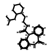 CN(C)CC1CCCCN1CCNC(=O)N1c2ccccc2NC(=O)c2ccccc21